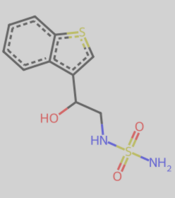 NS(=O)(=O)NCC(O)c1csc2ccccc12